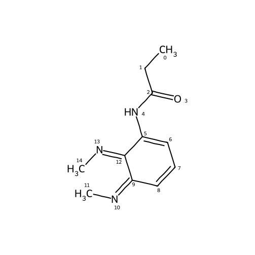 CCC(=O)NC1=CC=CC(=N/C)/C1=N\C